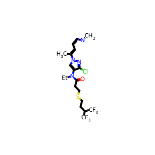 C=N/C=C\C=C(/C)n1cc(N(CC)C(=O)CCSCCC(C(F)(F)F)C(F)(F)F)c(Cl)n1